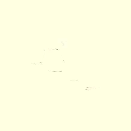 CC(CCSCC=O)OC(N)=O